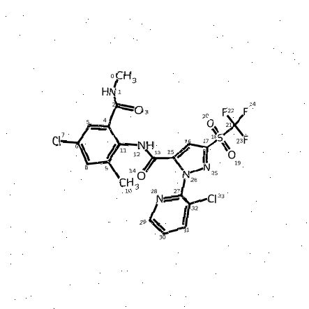 CNC(=O)c1cc(Cl)cc(C)c1NC(=O)c1cc(S(=O)(=O)C(F)(F)F)nn1-c1ncccc1Cl